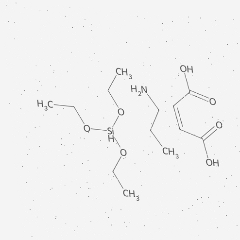 CCCN.CCO[SiH](OCC)OCC.O=C(O)/C=C\C(=O)O